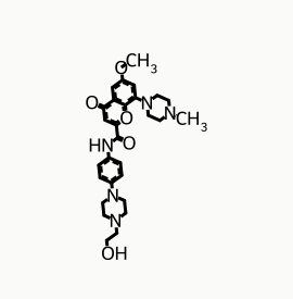 COc1cc(N2CCN(C)CC2)c2oc(C(=O)Nc3ccc(N4CCN(CCO)CC4)cc3)cc(=O)c2c1